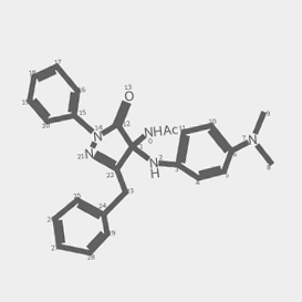 CC(=O)NC1(Nc2ccc(N(C)C)cc2)C(=O)N(c2ccccc2)N=C1Cc1ccccc1